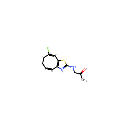 CC(=O)CNc1nc2c(s1)/C=C(/F)CC/C=C\2